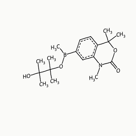 CB(OC(C)(C)C(C)(C)O)c1ccc2c(c1)N(C)C(=O)OC2(C)C